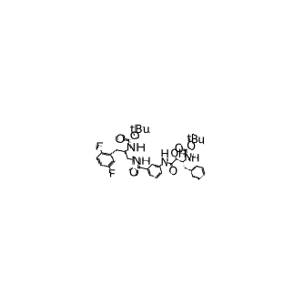 CC(C)(C)OC(=O)NC(CNC(=O)c1cccc(NC(=O)[C@@H](O)[C@@H](Cc2ccccc2)NC(=O)OC(C)(C)C)c1)Cc1cc(F)ccc1F